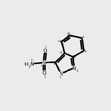 NS(=O)(=O)c1snc2ccccc12